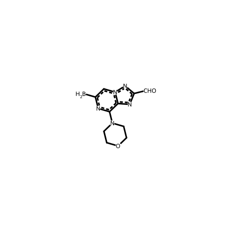 Bc1cn2nc(C=O)nc2c(N2CCOCC2)n1